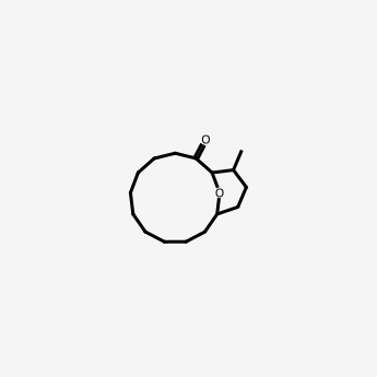 CC1CCC2CCCCCCCCCC(=O)C1O2